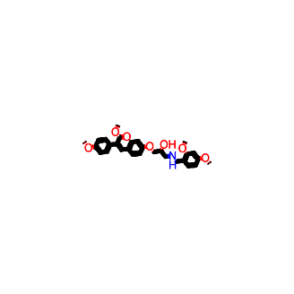 COC(=O)C(=Cc1ccc(OCC(O)CNCc2ccc(OC)cc2OC)cc1)c1ccc(OC)cc1